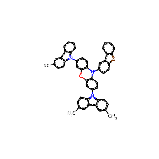 Cc1ccc2c(c1)c1cc(C)ccc1n2-c1ccc2c(c1)Oc1cc(-n3c4ccccc4c4cc(C#N)ccc43)ccc1N2c1ccc2sc3ccccc3c2c1